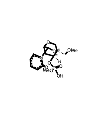 COC[C@]12COC(C[C@@H]1OP(=O)(O)OC)C(n1ccccc1=O)O2